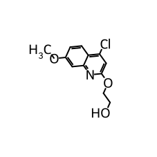 COc1ccc2c(Cl)cc(OCCO)nc2c1